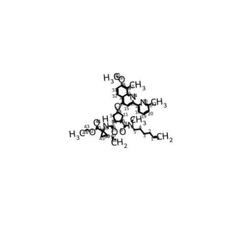 C=CCCCCN(C)C(=O)[C@@H]1C[C@H](Oc2cc(-c3cccc(C)n3)nc3c(C)c(OC)ccc23)C[C@H]1C(=O)NC1(C(=O)OCC)C[C@H]1C=C